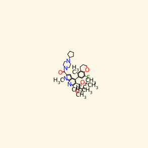 COC(C)[C@@H](OC(C)(C)C)c1c(C)nc2c(cc(C(=O)N3CCN(C4CCCC4)CC3)n2C)c1-c1cc(F)c2c(c1C)CCCO2